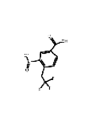 O=C(O)c1ccc(CC(F)(F)F)c([N+](=O)[O-])c1